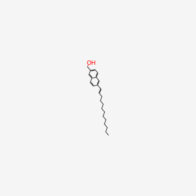 CCCCCCCCCCCC=Cc1ccc2cc(CO)ccc2c1